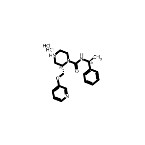 C[C@H](NC(=O)N1CCNC[C@H]1COc1cccnc1)c1ccccc1.Cl.Cl